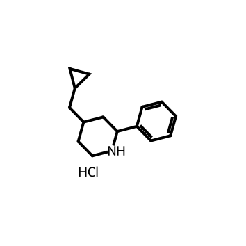 Cl.c1ccc(C2CC(CC3CC3)CCN2)cc1